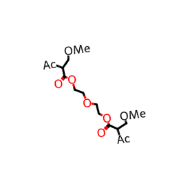 COCC(C(C)=O)C(=O)OCCOCCOC(=O)C(COC)C(C)=O